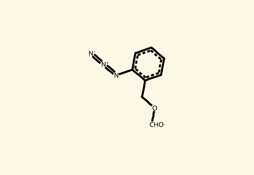 [N-]=[N+]=Nc1ccccc1CO[C]=O